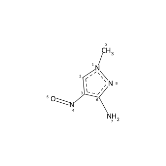 Cn1cc(N=O)c(N)n1